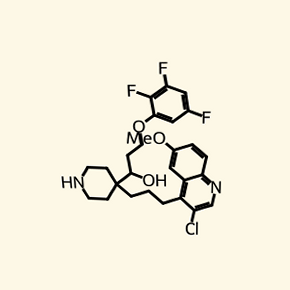 COc1ccc2ncc(Cl)c(CCCC3(C(O)CCOc4cc(F)cc(F)c4F)CCNCC3)c2c1